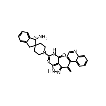 C=C(c1ccnc2ccccc12)c1n[nH]c2nc(N3CCC4(CC3)Cc3ccccc3[C@H]4N)[nH]c(=O)c12